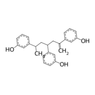 C=C(CC(CC(C)c1cccc(O)c1)c1cccc(O)c1)c1cccc(O)c1